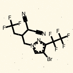 N#CC(C#N)C(Cn1cc(Br)c(C(F)(F)C(F)(F)F)n1)CC(F)(F)F